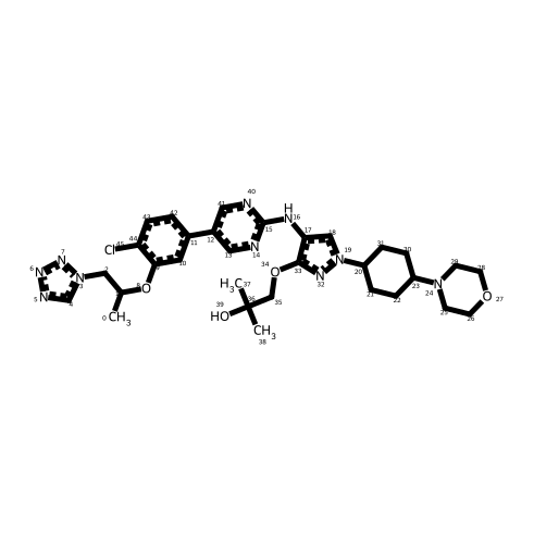 CC(Cn1cnnn1)Oc1cc(-c2cnc(Nc3cn(C4CCC(N5CCOCC5)CC4)nc3OCC(C)(C)O)nc2)ccc1Cl